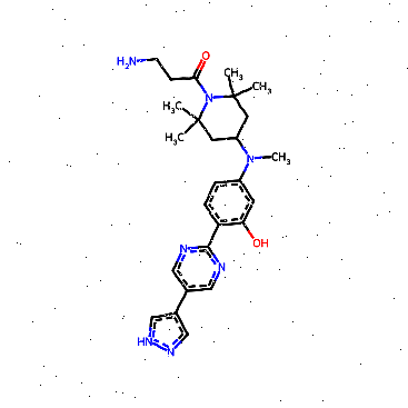 CN(c1ccc(-c2ncc(-c3cn[nH]c3)cn2)c(O)c1)C1CC(C)(C)N(C(=O)CCN)C(C)(C)C1